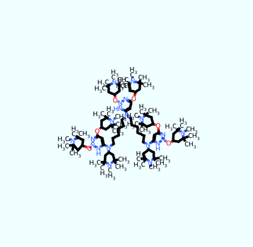 CN1C(C)(C)CC(OC2=NN(OC3CC(C)(C)N(C)C(C)(C)C3)NC(N(CCCCCCN(C3=CC(OC4CC(C)(C)N(C)C(C)(C)C4)=NN(OC4CC(C)(C)N(C)C(C)(C)C4)N3)C3CC(C)(C)N(C)C(C)(C)C3)CCCCCCN(C3=CC(OC4CC(C)(C)N(C)C(C)(C)C4)=NN(OC4CC(C)(C)N(C)C(C)(C)C4)N3)C3CC(C)(C)N(C)C(C)(C)C3)=C2)CC1(C)C